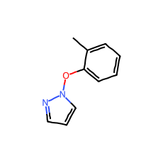 Cc1ccccc1On1cccn1